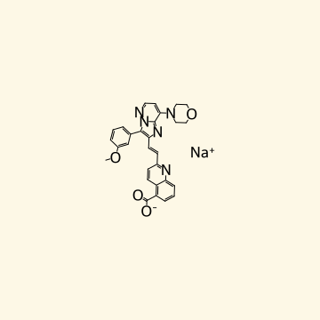 COc1cccc(-c2c(/C=C/c3ccc4c(C(=O)[O-])cccc4n3)nc3c(N4CCOCC4)ccnn23)c1.[Na+]